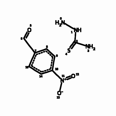 NNC(N)=S.O=Cc1ccc([N+](=O)[O-])cc1